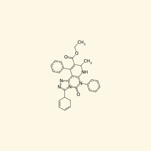 CCOC(=O)C1=C(c2ccccc2)c2c(n(-c3ccccc3)c(=O)n3c(C4C=CC=CC4)nnc23)NC1C